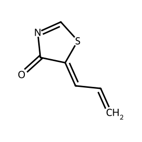 C=CC=C1SC=NC1=O